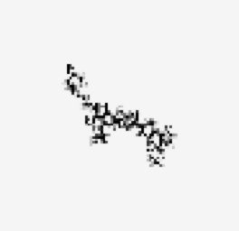 CC(C)(C)OC(=O)N1CCCC1c1ccc(-c2cn3c(n2)sc2cc(C(=O)NCCCN4CCC(F)CC4)c(OC(F)F)cc23)cc1